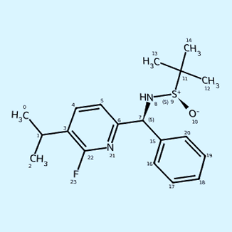 CC(C)c1ccc([C@@H](N[S@+]([O-])C(C)(C)C)c2ccccc2)nc1F